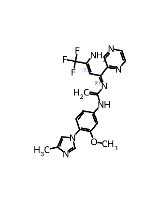 C=C(/N=C(\C=C(/N)C(F)(F)F)c1cnccn1)Nc1ccc(-n2cnc(C)c2)c(OC)c1